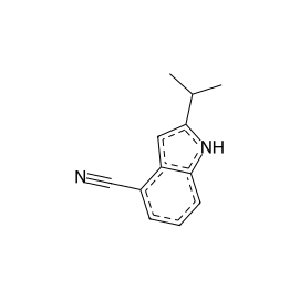 CC(C)c1cc2c(C#N)cccc2[nH]1